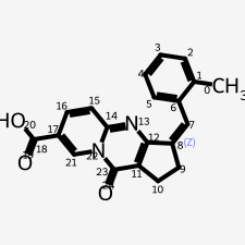 Cc1ccccc1/C=C1/CCc2c1nc1ccc(C(=O)O)cn1c2=O